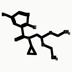 CCOC(CN(C(=O)c1cc(Br)cnc1Cl)C1CC1)OCC